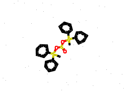 CS(OS(=O)OS(C)(c1ccccc1)c1ccccc1)(c1ccccc1)c1ccccc1